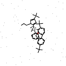 [CH2]=[Zr]([CH3])([C]1=CC(C(C)(C)C)=CC1CCC)([c]1ccccc1)[c]1c(C(C)(C)C)ccc2c1Cc1cc(C(C)(C)C)ccc1-2